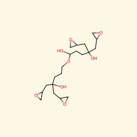 OC(CCC(O)(CC1CO1)CC1CO1)OCCCC(O)(CC1CO1)CC1CO1